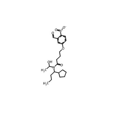 CCCC(C1CCCC1)N(C(=O)CCCOc1ccc([N+](=O)[O-])c(C=O)c1)C(C)O